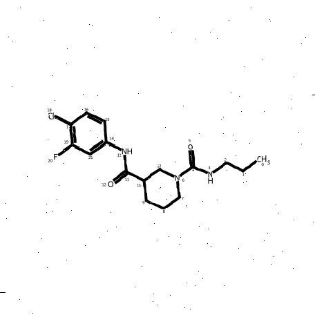 CCCNC(=O)N1CCCC(C(=O)Nc2ccc(Cl)c(F)c2)C1